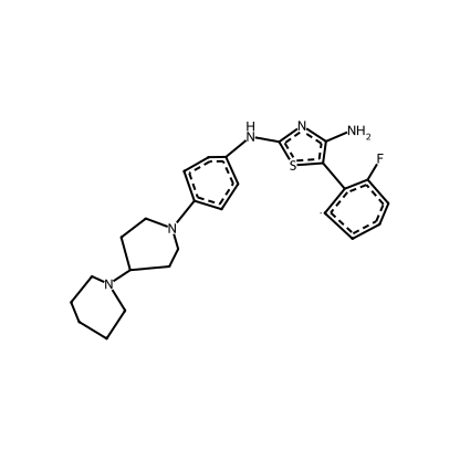 Nc1nc(Nc2ccc(N3CCC(N4CCCCC4)CC3)cc2)sc1-c1[c]cccc1F